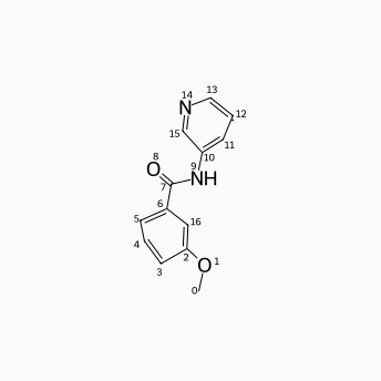 COc1cccc(C(=O)Nc2c[c]cnc2)c1